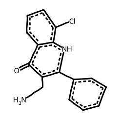 NCc1c(-c2ccccc2)[nH]c2c(Cl)cccc2c1=O